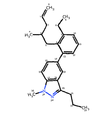 C=CCC(C)Cc1c(CC)cccc1-c1ccc2c(c1)c(CCC)nn2C